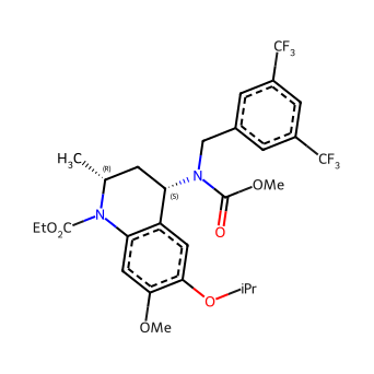 CCOC(=O)N1c2cc(OC)c(OC(C)C)cc2[C@@H](N(Cc2cc(C(F)(F)F)cc(C(F)(F)F)c2)C(=O)OC)C[C@H]1C